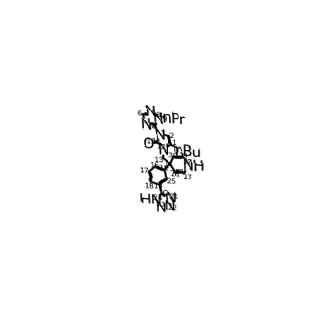 CCCCc1cn(-c2ncnn2CCC)c(=O)n1CC1(c2cccc(-c3nnn[nH]3)c2)C=CNC=C1